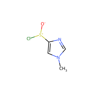 Cn1cnc([S+]([O-])Cl)c1